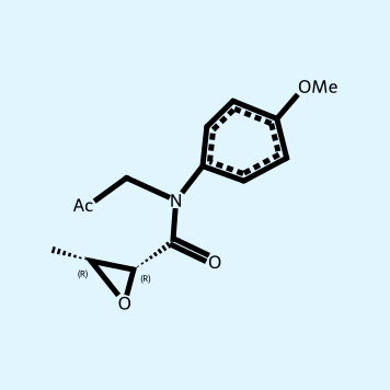 COc1ccc(N(CC(C)=O)C(=O)[C@@H]2O[C@@H]2C)cc1